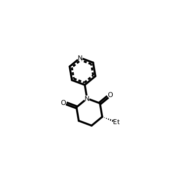 CC[C@@H]1CCC(=O)N(c2ccncc2)C1=O